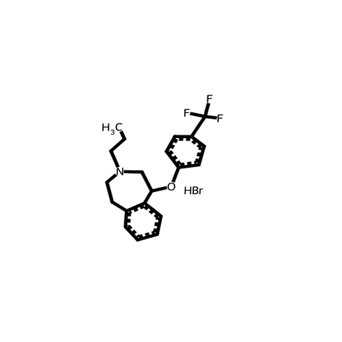 Br.CCCN1CCc2ccccc2C(Oc2ccc(C(F)(F)F)cc2)C1